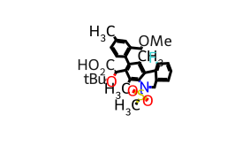 COCc1cc(C)ccc1-c1c(C)c2c(c(C)c1[C@H](OC(C)(C)C)C(=O)O)N(S(C)(=O)=O)Cc1cccc(F)c1-2